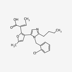 CC=C(C(=O)O)c1oc(C)cc1-c1cnc(CCCC)n1Cc1ccccc1Cl